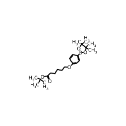 CC(C)(C)OC(=O)CCCCCOc1ccc(B2OC(C)(C)C(C)(C)O2)cc1